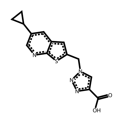 O=C(O)c1cn(Cc2cc3cc(C4CC4)cnc3s2)nn1